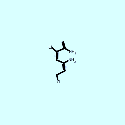 C=C(N)/C(Cl)=C\C(N)=C/CCl